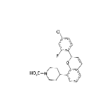 O=C(O)N1CCC(c2cccc3c2OC(c2ccc(Cl)cc2F)C=C3)CC1